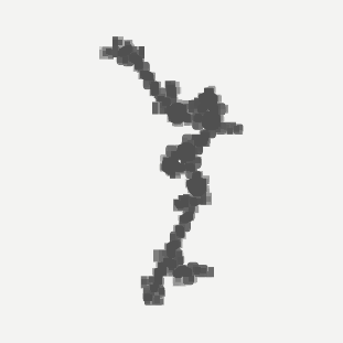 C=C1C[C@H]2[C@H](O)N(C(=O)OCc3ccc(N[C@H](COCCOCCOCCC(=O)N[C@@H](C)C(=O)NC(C)C)N=[N+]=[N-])cc3)c3cc(OCCCOc4cc5c(cc4OC)C(=O)N4CCC[C@H]4CN5C(=O)OCc4ccc(N[C@H](COCCOCCOCCC(=O)N[C@@H](CCCCNC(=O)OC(C)(C)C)C(=O)N[C@@H](C)CC(=O)OC(C)(C)C)N=[N+]=[N-])cc4)c(OC)cc3C(=O)N2C1